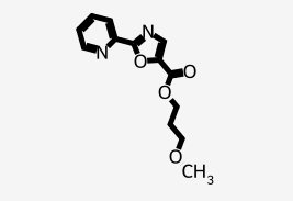 COCCCOC(=O)c1cnc(-c2ccccn2)o1